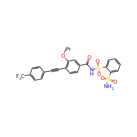 CC(C)Oc1cc(C(=O)NS(=O)(=O)c2ccccc2S(N)(=O)=O)ccc1C#Cc1ccc(C(F)(F)F)cc1